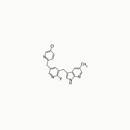 Cc1cnc2[nH]cc(Cc3cc(Cc4ccc(Cl)cn4)[c]nc3F)c2c1